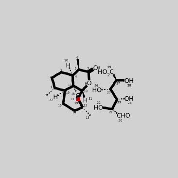 C[C@@H]1CC[C@H]2[C@@H](C)C(=O)O[C@@H]3O[C@]4(C)CC[C@@H]1[C@]32OO4.O=C[C@H](O)[C@@H](O)[C@H](O)[C@H](O)C(=O)O